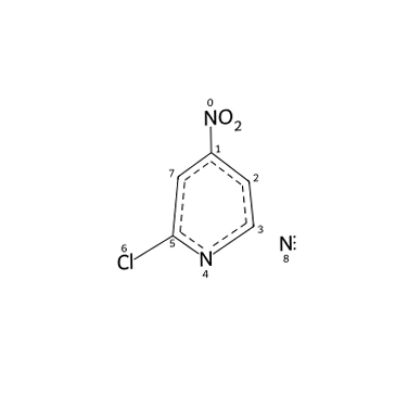 O=[N+]([O-])c1ccnc(Cl)c1.[N]